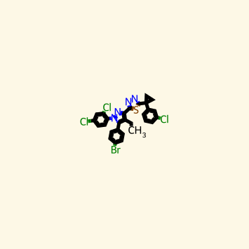 CCc1c(-c2nnc(C3(c4cccc(Cl)c4)CC3)s2)nn(-c2ccc(Cl)cc2Cl)c1-c1ccc(Br)cc1